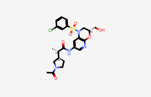 CC(=O)N1CC[C@H]([C@H](C)C(=O)Nc2cnc3c(c2)N(S(=O)(=O)c2cccc(Cl)c2)C[C@H](CO)O3)C1